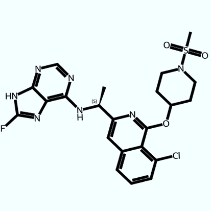 C[C@H](Nc1ncnc2[nH]c(F)nc12)c1cc2cccc(Cl)c2c(OC2CCN(S(C)(=O)=O)CC2)n1